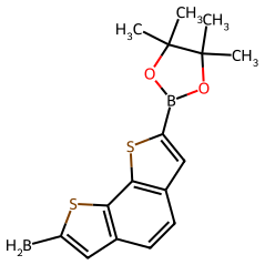 Bc1cc2ccc3cc(B4OC(C)(C)C(C)(C)O4)sc3c2s1